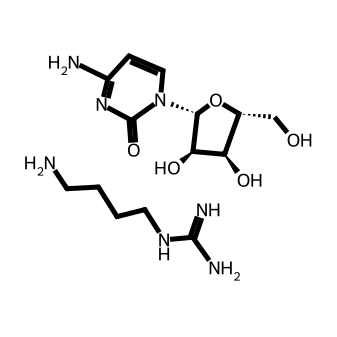 N=C(N)NCCCCN.Nc1ccn([C@@H]2O[C@H](CO)[C@@H](O)[C@H]2O)c(=O)n1